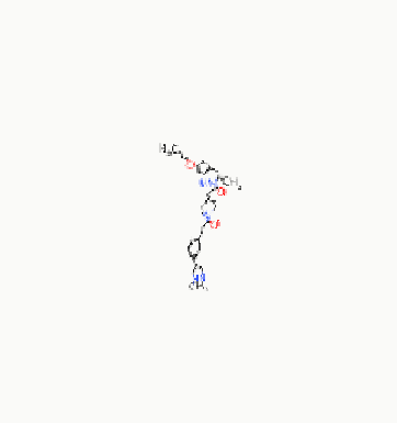 CCCCOc1ccc(C[C@@H](C)NC(=O)CC2CCN(C(=O)CCc3cccc(-c4cnn(C)c4)c3)CC2)cc1